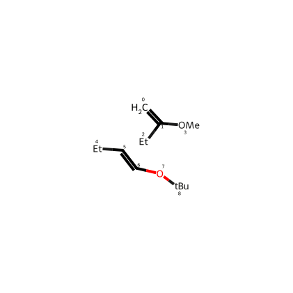 C=C(CC)OC.CCC=COC(C)(C)C